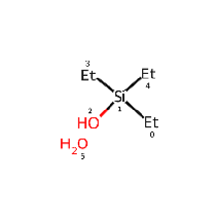 CC[Si](O)(CC)CC.O